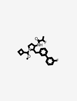 COC(C1CCC1)N1CCC(NC(=O)C(C)F)C1Cc1cccc(-c2cccc(F)c2)c1